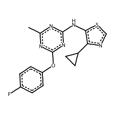 Cc1nc(Nc2scnc2C2CC2)nc(Oc2ccc(F)cc2)n1